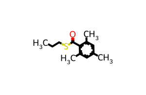 CCCSC(=O)c1c(C)cc(C)cc1C